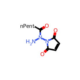 CCCCCC(=O)N(N)N1C(=O)C=CC1=O